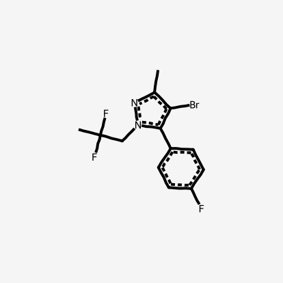 Cc1nn(CC(C)(F)F)c(-c2ccc(F)cc2)c1Br